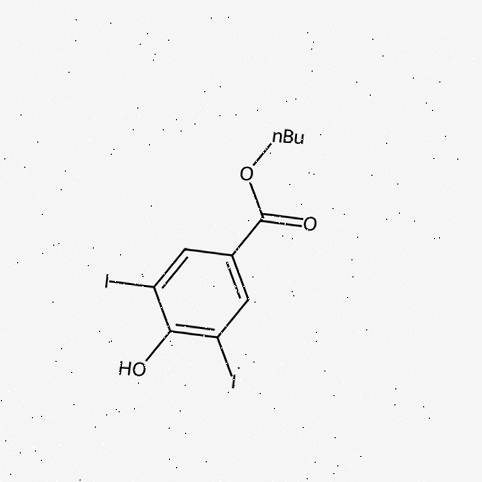 CCCCOC(=O)c1cc(I)c(O)c(I)c1